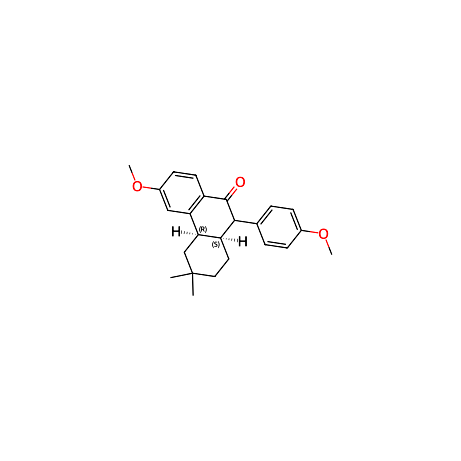 COc1ccc(C2C(=O)c3ccc(OC)cc3[C@@H]3CC(C)(C)CC[C@H]23)cc1